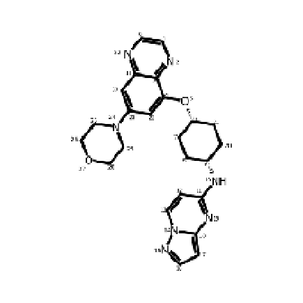 c1cnc2c(O[C@H]3CC[C@@H](Nc4ccn5nccc5n4)CC3)cc(N3CCOCC3)cc2n1